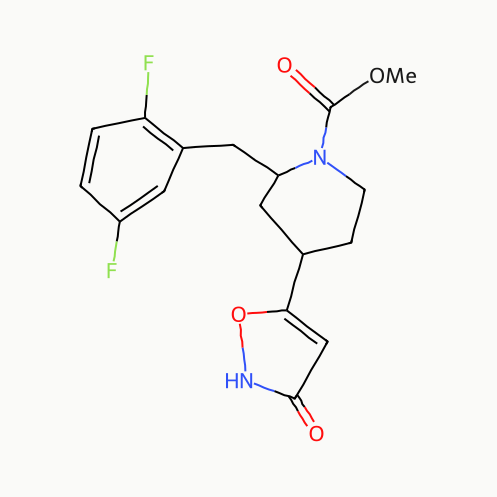 COC(=O)N1CCC(c2cc(=O)[nH]o2)CC1Cc1cc(F)ccc1F